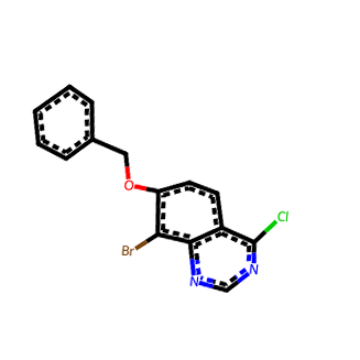 Clc1ncnc2c(Br)c(OCc3ccccc3)ccc12